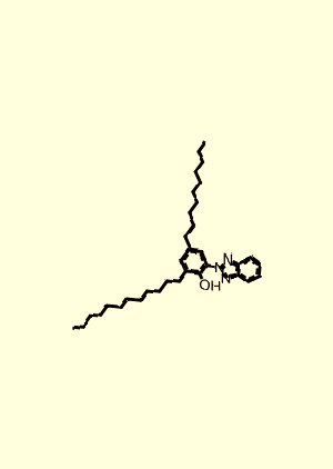 CCCCCCCCCCCCc1cc(CCCCCCCCCC)cc(-n2nc3ccccc3n2)c1O